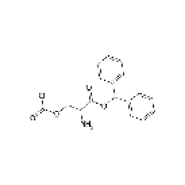 NC(COC(=O)Cl)C(=O)OC(c1ccccc1)c1ccccc1